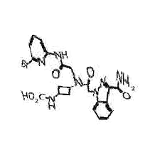 NC(=O)c1nn(CC(=O)N(CC(=O)Nc2cccc(Br)n2)[C@H]2C[C@H](NC(=O)O)C2)c2ccccc12